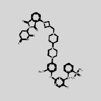 COc1cc(N2CCN(C3CCN(CC4CN(c5cccc6c5C(=O)N(C5CCC(=O)NC5=O)C6=O)C4)CC3)CC2)ccc1Nc1ncc(Cl)c(Nc2ccccc2P(C)(C)=O)n1